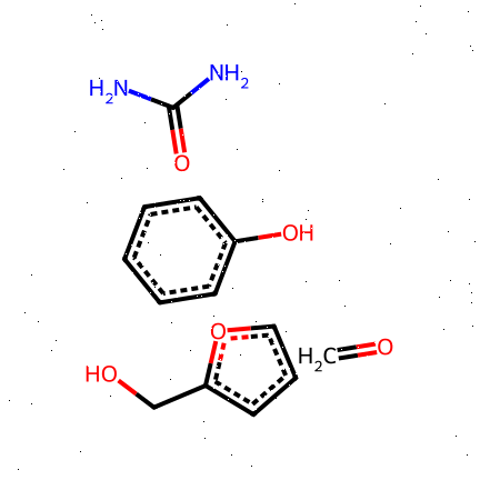 C=O.NC(N)=O.OCc1ccco1.Oc1ccccc1